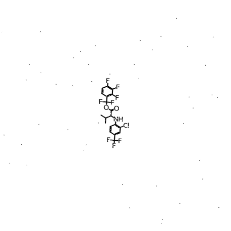 CC(C)C(Nc1ccc(C(F)(F)F)cc1Cl)C(=O)OC(F)(F)c1ccc(F)c(F)c1F